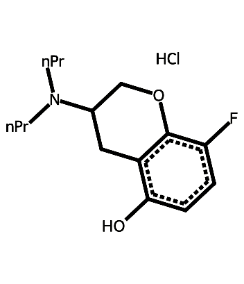 CCCN(CCC)C1COc2c(F)ccc(O)c2C1.Cl